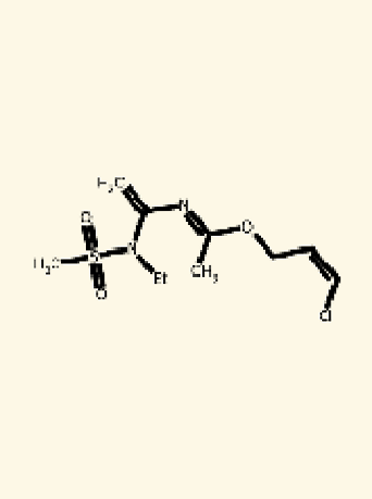 C=C(/N=C(\C)OC/C=C\Cl)N(CC)S(C)(=O)=O